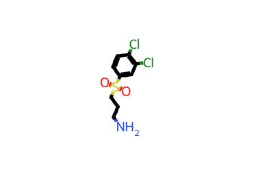 NCCCS(=O)(=O)c1ccc(Cl)c(Cl)c1